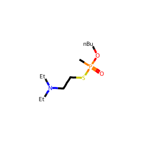 CCCCOP(C)(=O)SCCN(CC)CC